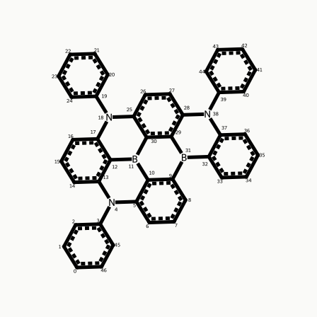 c1ccc(N2c3cccc4c3B3c5c2cccc5N(c2ccccc2)c2ccc5c(c23)B4c2ccccc2N5c2ccccc2)cc1